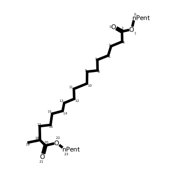 CCCCCOC(=O)CCCCCCCCCCCCCCC(C)C(=O)OCCCCC